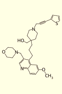 COc1ccc2ncc(CN3CCOCC3)c(CCCC3(CO)CCN(CC#Cc4cccs4)CC3)c2c1